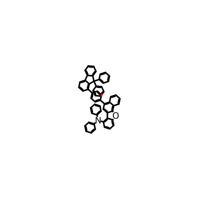 c1ccc(N(c2ccccc2)c2cccc3oc4c5ccccc5c(-c5ccc(-c6cccc7c6C(c6ccccc6)(c6ccccc6)c6ccccc6-7)cc5)cc4c23)cc1